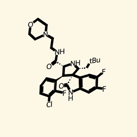 CC(C)(C)C[C@H]1N[C@@H](C(=O)NCCN2CCOCC2)[C@H](c2cccc(Cl)c2F)[C@@]12C(=O)Nc1cc(F)c(F)cc12